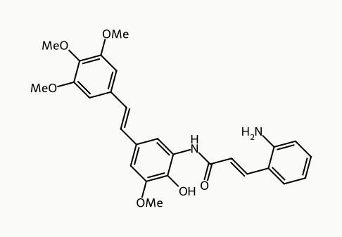 COc1cc(C=Cc2cc(OC)c(OC)c(OC)c2)cc(NC(=O)/C=C/c2ccccc2N)c1O